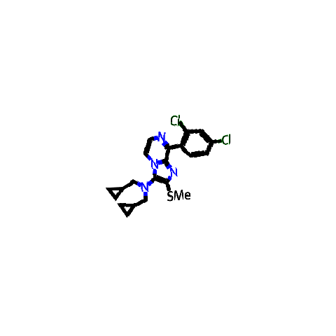 CSc1nc2c(-c3ccc(Cl)cc3Cl)nccn2c1N(CC1CC1)CC1CC1